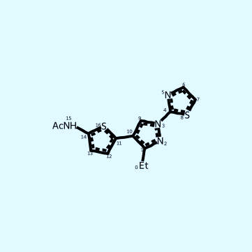 CCc1nn(-c2nccs2)cc1-c1ccc(NC(C)=O)s1